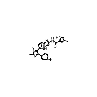 Cc1c[nH]c(C(=O)Nc2c[nH]c(/C=C\C(=N)c3c(-c4ccc(F)cc4)nc(C)n3C)n2)c1